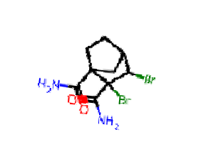 NC(=O)C12CCC(C1)C(Br)C2(Br)C(N)=O